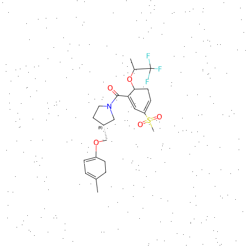 CC1=CC=C(OC[C@@H]2CCN(C(=O)C3=CC(S(C)(=O)=O)=CCC3OC(C)C(F)(F)F)C2)CC1